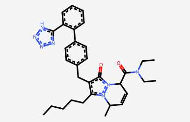 CCCCCc1c(Cc2ccc(-c3ccccc3-c3nnn[nH]3)cc2)c(=O)n2n1C(C)C=CC2C(=O)N(CC)CC